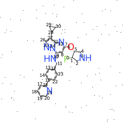 F[C@@H]1CNC[C@H]1Oc1cc(NCc2ccc(-c3ccccn3)cc2)n2ncc(C3CC3)c2n1